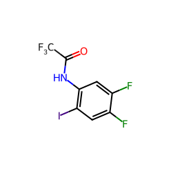 O=C(Nc1cc(F)c(F)cc1I)C(F)(F)F